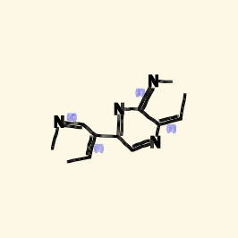 C/C=C(\C=N/C)C1=NC(=N/C)/C(=C\C)N=C1